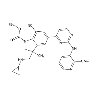 COc1ncccc1Nc1nccc(-c2cc(C#N)c3c(c2)C(C)(CNC2CC2)CN3C(=O)OC(C)(C)C)n1